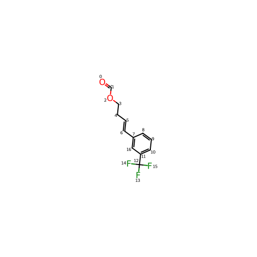 O=[C]OCCC=Cc1cccc(C(F)(F)F)c1